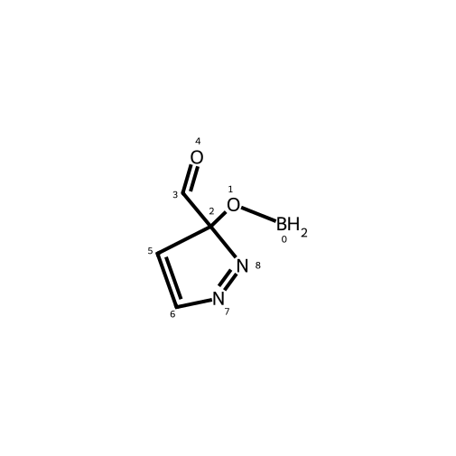 BOC1(C=O)C=CN=N1